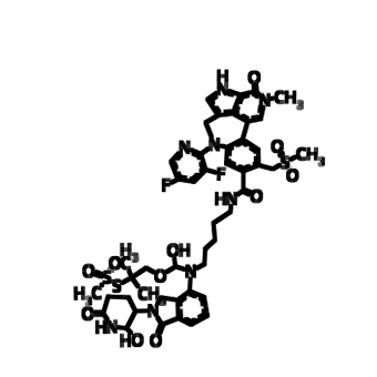 Cn1cc2c3c(c[nH]c3c1=O)CN(c1ncc(F)cc1F)c1cc(C(=O)NCCCCCN(c3cccc4c3CN(C3CCC(=O)NC3O)C4=O)C(O)OCC(C)(C)SS(C)(=O)=O)c(CS(C)(=O)=O)cc1-2